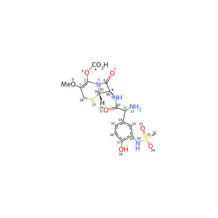 COC1=C(OC(=O)O)N2C(=O)[C@@H](NC(=O)C(N)c3ccc(O)c(NS(C)(=O)=O)c3)[C@@H]2SC1